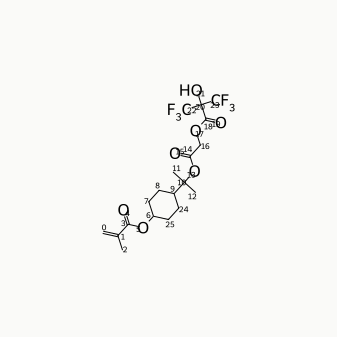 C=C(C)C(=O)OC1CCC(C(C)(C)OC(=O)COC(=O)C(O)(C(F)(F)F)C(F)(F)F)CC1